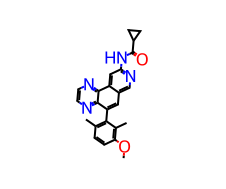 COc1ccc(C)c(-c2cc3cnc(NC(=O)C4CC4)cc3c3nccnc23)c1C